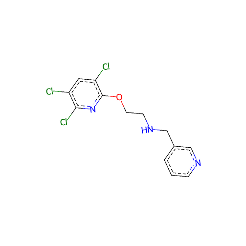 Clc1cc(Cl)c(OCCNCc2cccnc2)nc1Cl